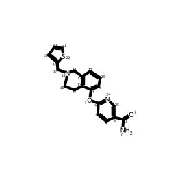 NC(=O)c1ccc(Oc2cccc3c2CCN(Cc2cccs2)C3)nc1